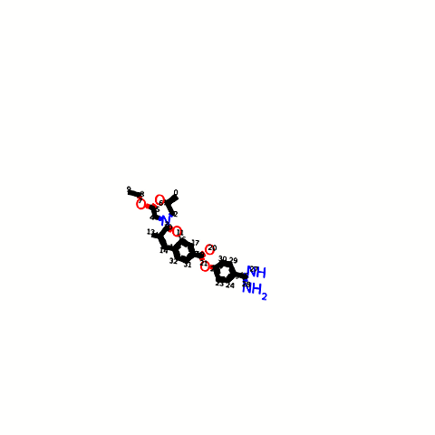 C=CCN(CC(=O)OCC)C(=O)C(C)=Cc1ccc(C(=O)Oc2ccc(C(=N)N)cc2)cc1